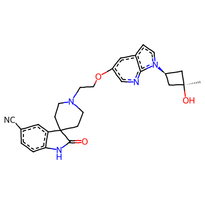 C[C@]1(O)C[C@@H](n2ccc3cc(OCCN4CCC5(CC4)C(=O)Nc4ccc(C#N)cc45)cnc32)C1